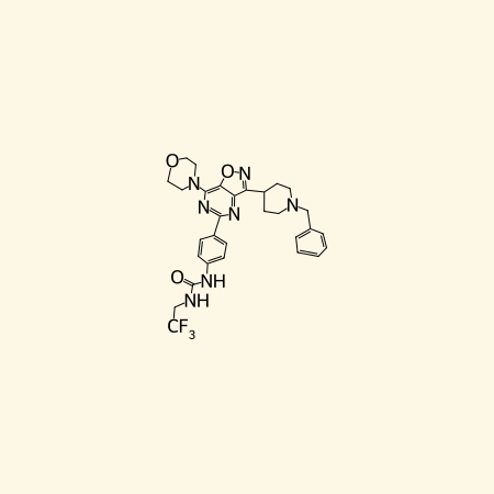 O=C(NCC(F)(F)F)Nc1ccc(-c2nc(N3CCOCC3)c3onc(C4CCN(Cc5ccccc5)CC4)c3n2)cc1